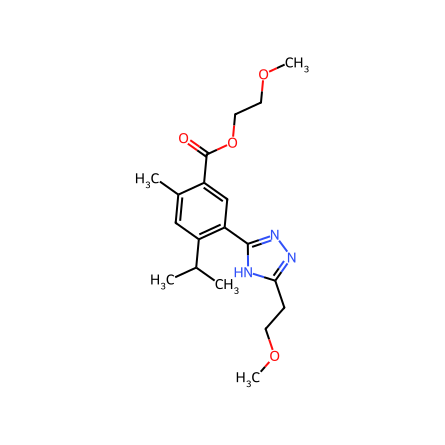 COCCOC(=O)c1cc(-c2nnc(CCOC)[nH]2)c(C(C)C)cc1C